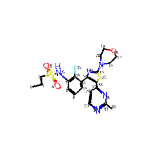 CCCS(=O)(=O)Nc1cccc(-c2nc(N3CCOCC3)sc2-c2ccnc(C)n2)c1F